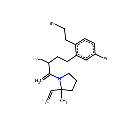 C=CC1(C)CCCN1C(=C)C(C)CCc1cc(CC)ccc1CCC(C)C